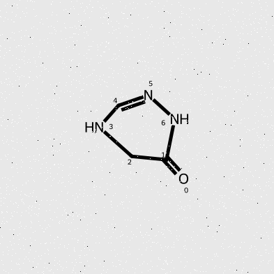 O=C1CNC=NN1